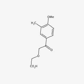 COc1ccc(C(=O)COCC(=O)O)cc1C